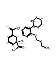 CCCCNc1ccccc1C1CCCCN1.C[C@@]1(C(=O)O)C=CC=C(C(=O)O)C1